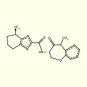 CN1C(=O)[C@@H](NC(=O)c2nc3n(n2)[C@H](C(F)(F)F)CCC3)COc2ccccc21